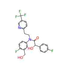 O=C(C(O)c1ccc(F)cc1)N(CCc1ccc(C(F)(F)F)cn1)c1ccc(F)c(CO)c1